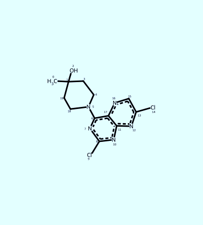 CC1(O)CCN(c2nc(Cl)nc3nc(Cl)cnc23)CC1